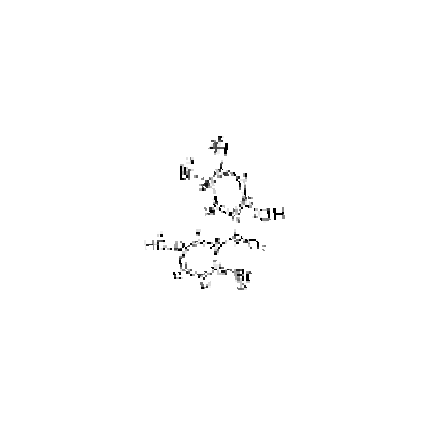 [2H]c1cc(O)c(C(=O)c2cc(O)ccc2Br)cc1Br